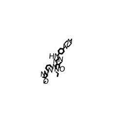 C=CCn1c(=O)c2cnc(Nc3ccc(N4CCN(C)CC4)cc3)nc2n1-c1cccc(-n2cc(OC)cn2)n1